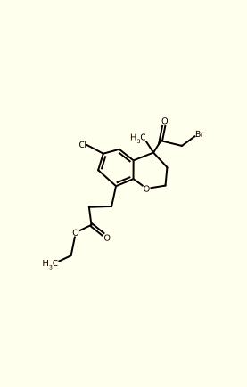 CCOC(=O)CCc1cc(Cl)cc2c1OCCC2(C)C(=O)CBr